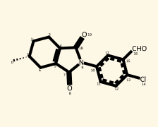 C[C@@H]1CCC2=C(C1)C(=O)N(c1ccc(Cl)c(C=O)c1)C2=O